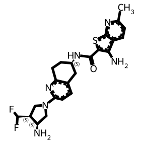 Cc1ccc2c(N)c(C(=O)N[C@H]3CCc4nc(N5C[C@@H](N)[C@@H](C(F)F)C5)ccc4C3)sc2n1